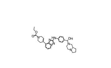 CCOC(=O)N1CC=C(c2cccn3nc(Nc4ccc(C(O)N5CCN6CCCC6C5)cc4)nc23)CC1